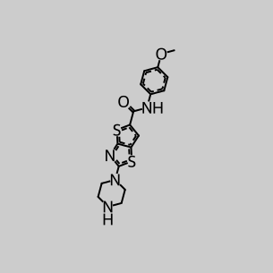 COc1ccc(NC(=O)c2cc3sc(N4CCNCC4)nc3s2)cc1